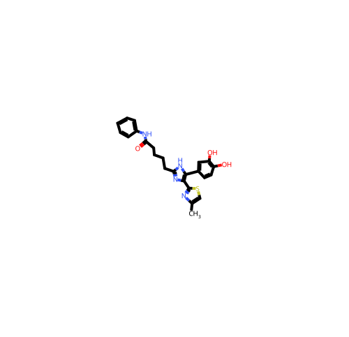 Cc1csc(-c2nc(CCCCC(=O)Nc3ccccc3)[nH]c2-c2ccc(O)c(O)c2)n1